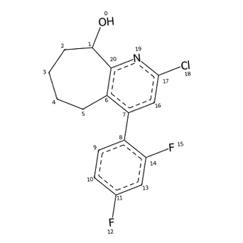 OC1CCCCc2c(-c3ccc(F)cc3F)cc(Cl)nc21